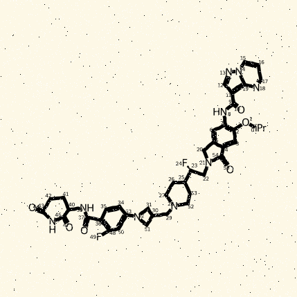 CC(C)Oc1cc2c(cc1NC(=O)c1cnn3cccnc13)CN(C[C@@H](F)C1CCN(CC3CN(c4ccc(C(=O)NC5CCC(=O)NC5=O)c(F)c4)C3)CC1)C2=O